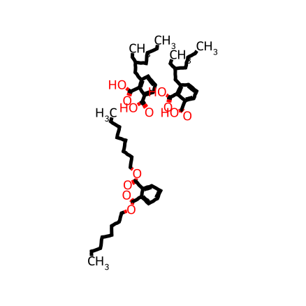 CCCCC(CC)Cc1cccc(C(=O)O)c1C(=O)O.CCCCC(CC)Cc1cccc(C(=O)O)c1C(=O)O.CCCCCCCCOC(=O)c1ccccc1C(=O)OCCCCCCCC